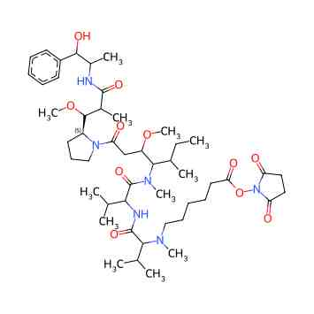 CCC(C)C(C(CC(=O)N1CCC[C@H]1C(OC)C(C)C(=O)NC(C)C(O)c1ccccc1)OC)N(C)C(=O)C(NC(=O)C(C(C)C)N(C)CCCCCC(=O)ON1C(=O)CCC1=O)C(C)C